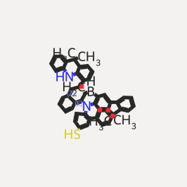 C=C1Bc2cc3c(cc2N(c2ccc(S)cc2-c2ccccc2)/C1=c1\cccc\c1=C\Cc1cccc2c1Nc1ccccc1C2(C)C)C(C)(C)c1ccccc1-3